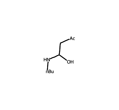 CCCCNC(O)CC(C)=O